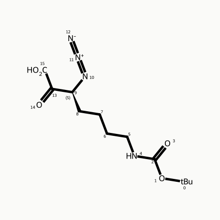 CC(C)(C)OC(=O)NCCCC[C@H](N=[N+]=[N-])C(=O)C(=O)O